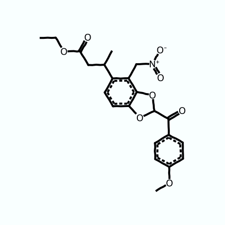 CCOC(=O)CC(C)c1ccc2c(c1C[N+](=O)[O-])OC(C(=O)c1ccc(OC)cc1)O2